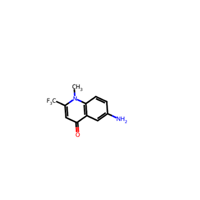 Cn1c(C(F)(F)F)cc(=O)c2cc(N)ccc21